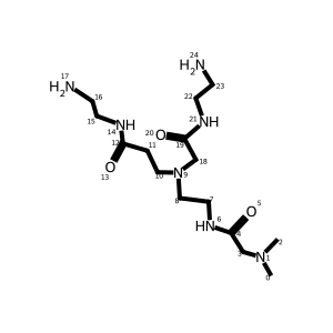 CN(C)CC(=O)NCCN(CCC(=O)NCCN)CC(=O)NCCN